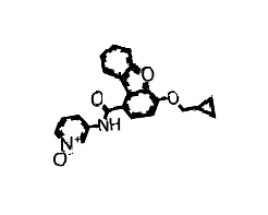 O=C(Nc1ccc[n+]([O-])c1)c1ccc(OCC2CC2)c2oc3ccccc3c12